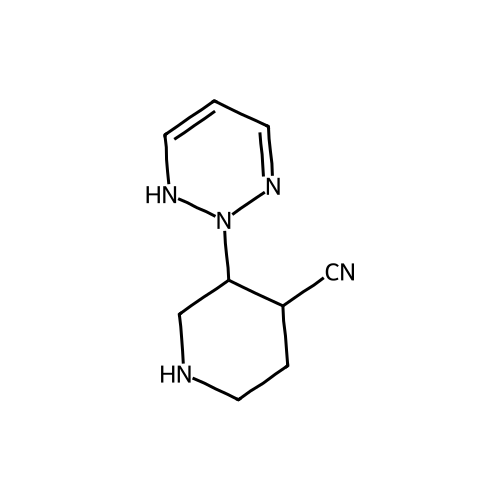 N#CC1CCNCC1N1N=CC=CN1